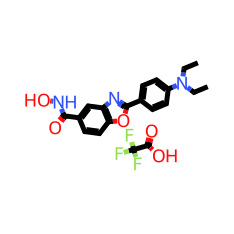 CCN(CC)c1ccc(-c2nc3cc(C(=O)NO)ccc3o2)cc1.O=C(O)C(F)(F)F